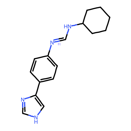 C(=N\c1ccc(-c2c[nH]cn2)cc1)/NC1CCCCC1